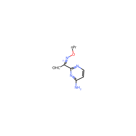 CCCO/N=C(/[C]=O)c1nccc(N)n1